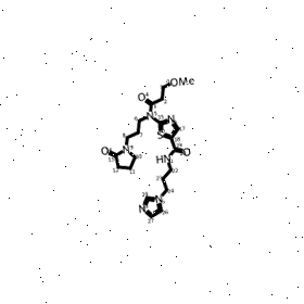 COCCC(=O)N(CCCN1CCCC1=O)c1ncc(C(=O)NCCCn2ccnc2)s1